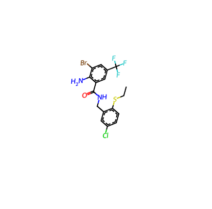 CCSc1ccc(Cl)cc1CNC(=O)c1cc(C(F)(F)F)cc(Br)c1N